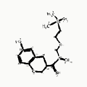 CN(COCC[Si](C)(C)C)C(=N)C1COc2ccc(O)cc2C1